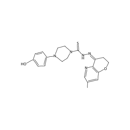 Cc1cnc2c(c1)OCC/C2=N/NC(=S)N1CCN(c2ccc(O)cc2)CC1